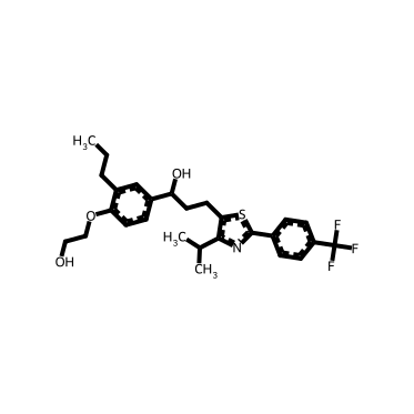 CCCc1cc(C(O)CCc2sc(-c3ccc(C(F)(F)F)cc3)nc2C(C)C)ccc1OCCO